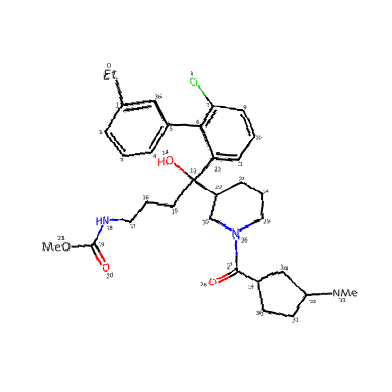 CCc1cccc(-c2c(Cl)cccc2C(O)(CCCNC(=O)OC)C2CCCN(C(=O)C3CCC(NC)C3)C2)c1